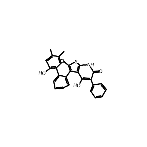 Cc1cc(O)c(-c2ccccc2-c2c(Cl)sc3[nH]c(=O)c(-c4ccccc4)c(O)c23)cc1C